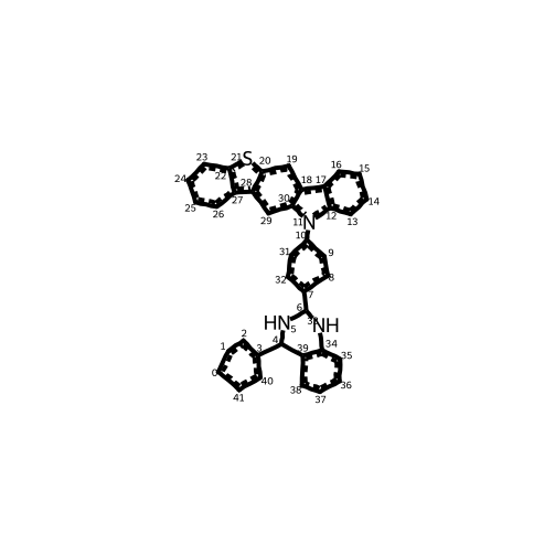 c1ccc(C2NC(c3ccc(-n4c5ccccc5c5cc6sc7ccccc7c6cc54)cc3)Nc3ccccc32)cc1